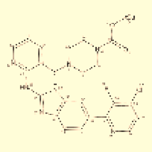 CC(C)(C)OC(=O)N1CCN(Cc2cccnc2Nc2nc3ccc(-c4ncnc(Cl)c4F)cc3[nH]2)CC1